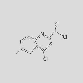 Cc1ccc2nc(C(Cl)Cl)cc(Cl)c2c1